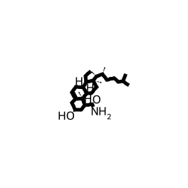 CC(C)CCC[C@@H](C)[C@H]1CC[C@H]2[C@@H]3CC=C4C[C@@H](O)CC(C(N)=O)[C@]4(C)[C@H]3CC[C@]12C